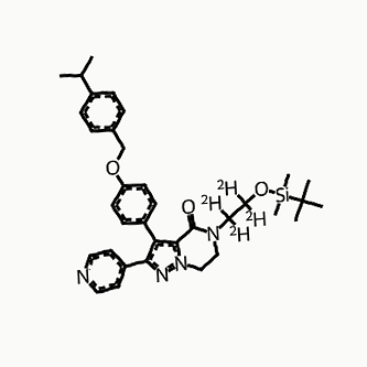 [2H]C([2H])(O[Si](C)(C)C(C)(C)C)C([2H])([2H])N1CCn2nc(-c3ccncc3)c(-c3ccc(OCc4ccc(C(C)C)cc4)cc3)c2C1=O